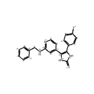 Fc1ccc(-c2[nH]c(=S)[nH]c2-c2ccnc(NCc3ccccc3)c2)cc1